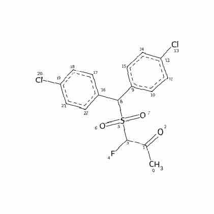 CC(=O)C(F)S(=O)(=O)C(c1ccc(Cl)cc1)c1ccc(Cl)cc1